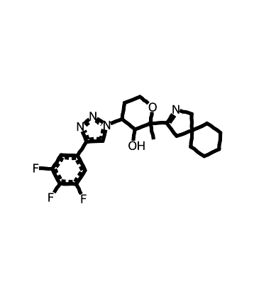 CC1(C2=NCC3(CCCCC3)C2)OCCC(n2cc(-c3cc(F)c(F)c(F)c3)nn2)C1O